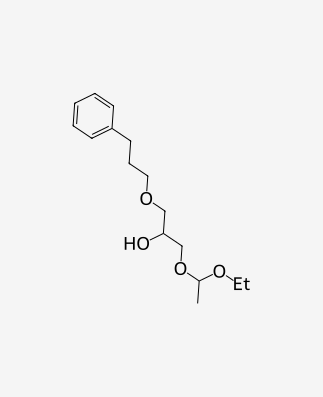 CCOC(C)OCC(O)COCCCc1ccccc1